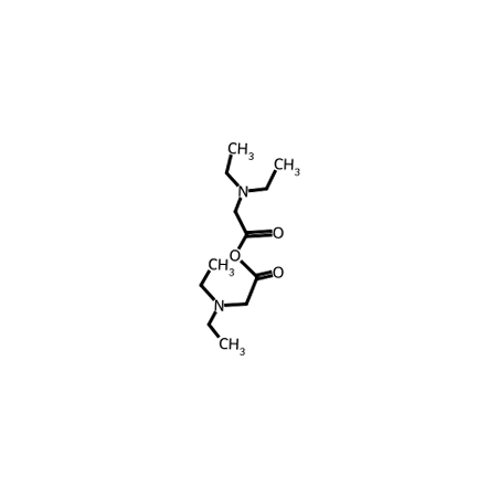 CCN(CC)CC(=O)OC(=O)CN(CC)CC